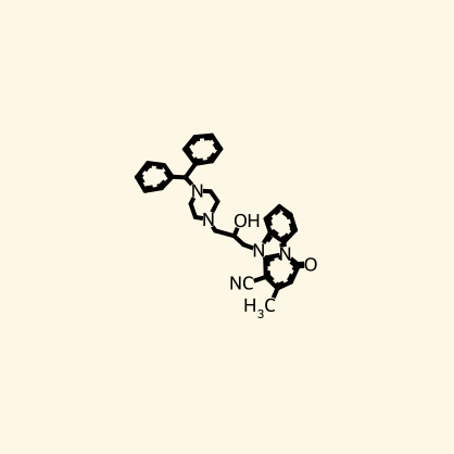 Cc1cc(=O)n2c3ccccc3n(CC(O)CN3CCN(C(c4ccccc4)c4ccccc4)CC3)c2c1C#N